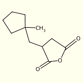 CC1(CC2CC(=O)OC2=O)CCCC1